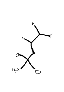 FC(F)C(F)CC([SiH3])(Cl)Cl